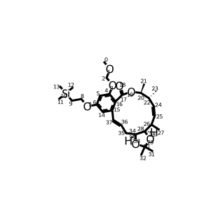 COCOc1cc(OCC[Si](C)(C)C)cc2c1C(=O)O[C@@H](C)[C@H](C)/C=C\C(C)[C@H]1OC(C)(C)O[C@H]1C/C=C/2